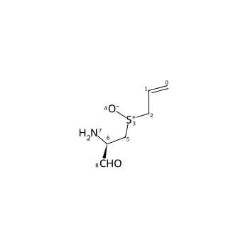 C=CC[S+]([O-])C[C@H](N)C=O